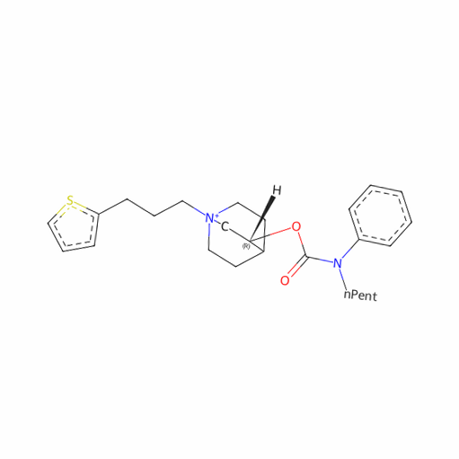 CCCCCN(C(=O)O[C@H]1C[N+]2(CCCc3cccs3)CCC1CC2)c1ccccc1